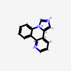 c1ccc2c(c1)c1ncccc1c1cncn21